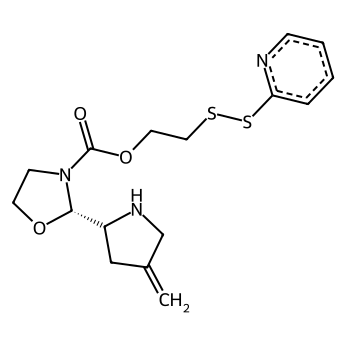 C=C1CNC([C@@H]2OCCN2C(=O)OCCSSc2ccccn2)C1